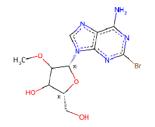 COC1C(O)[C@@H](CO)O[C@H]1n1cnc2c(N)nc(Br)nc21